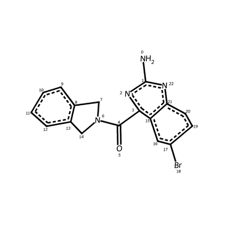 Nc1nc(C(=O)N2Cc3ccccc3C2)c2cc(Br)ccc2n1